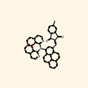 Cc1ccc2c(c1)C(=O)/C(=C/c1cc(N(c3nccc4ccccc34)c3nccc4ccccc34)c3ccc4cccc5ccc1c3c54)C2=O